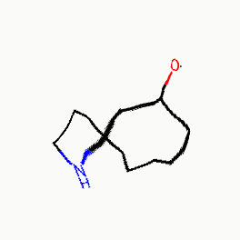 [O]C1CCCC2(CCN2)C1